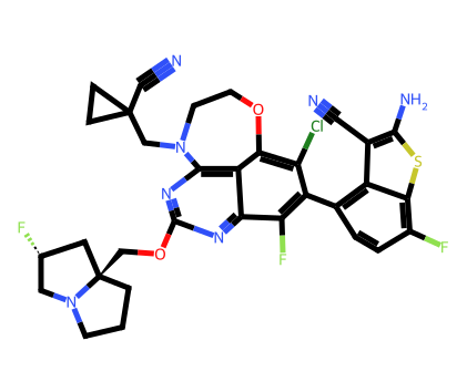 N#Cc1c(N)sc2c(F)ccc(-c3c(Cl)c4c5c(nc(OC[C@@]67CCCN6C[C@H](F)C7)nc5c3F)N(CC3(C#N)CC3)CCO4)c12